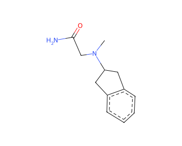 CN(CC(N)=O)C1Cc2ccccc2C1